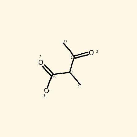 CC(=O)C(C)C([O])=O